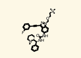 CN1CCCC[C@@H]1[C@H](NC(=O)Nc1ccc2c(c1)c(C#Cc1cccc(F)c1)nn2COCC[Si](C)(C)C)c1ccccc1